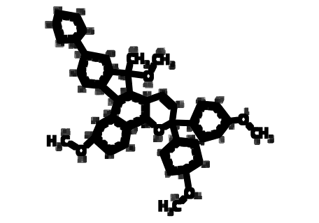 COc1ccc(C2(c3ccc(OC)cc3)C=Cc3c4c(c5cc(OC)ccc5c3O2)-c2ccc(-c3ccccc3)cc2C4(C)OC)cc1